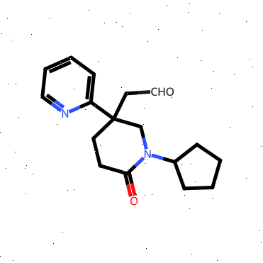 O=CCC1(c2ccccn2)CCC(=O)N(C2CCCC2)C1